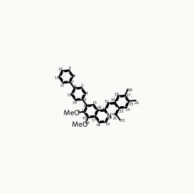 COc1c(-c2ccc(-c3ccccc3)cc2)cc2c(cc[n+]3c(C)c4cc(C)c(C)cc4cc23)c1OC